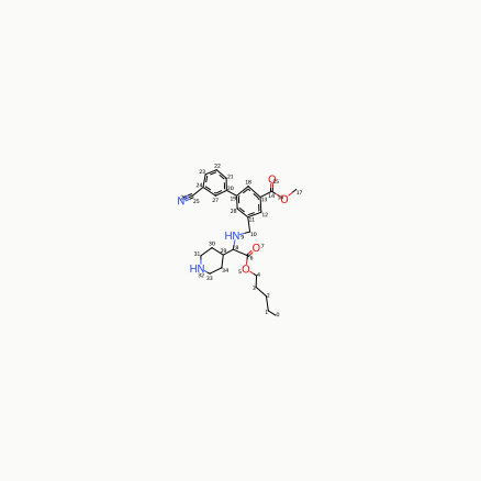 CCCCCOC(=O)C(NCc1cc(C(=O)OC)cc(-c2cccc(C#N)c2)c1)C1CCNCC1